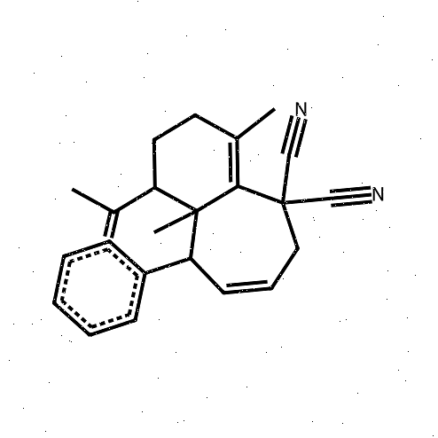 C=C(C)C1CCC(C)=C2C(C#N)(C#N)CC=CC(c3ccccc3)C21C